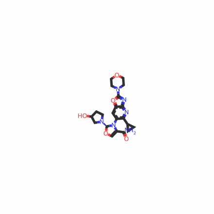 NC(=O)C1=CO[C@@H](N2CCC(O)C2)N1c1cc2oc(N3CCOCC3)nc2nc1C1CC1